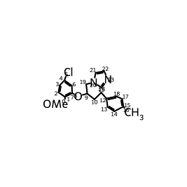 COc1ccc(Cl)cc1OC(CCc1ccc(C)cc1)Cn1ccnc1